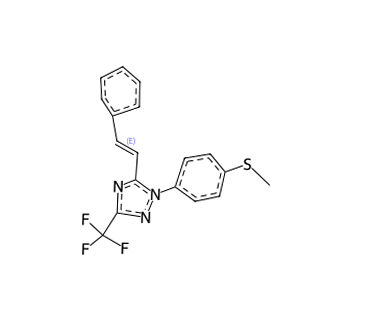 CSc1ccc(-n2nc(C(F)(F)F)nc2/C=C/c2ccccc2)cc1